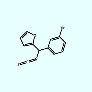 S=C=NC(c1cccc(Br)c1)c1ccco1